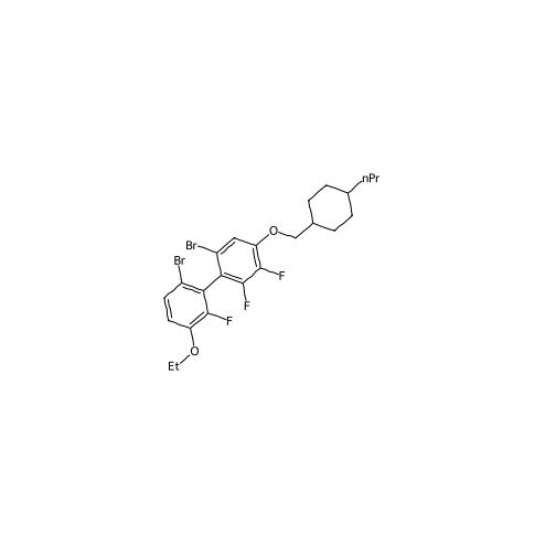 CCCC1CCC(COc2cc(Br)c(-c3c(Br)ccc(OCC)c3F)c(F)c2F)CC1